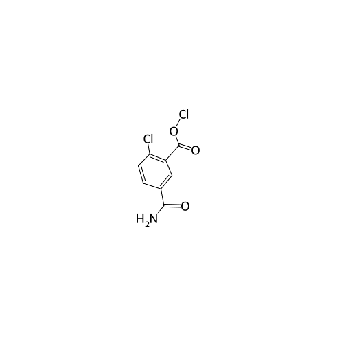 NC(=O)c1ccc(Cl)c(C(=O)OCl)c1